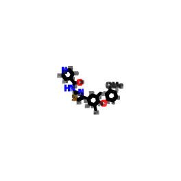 COc1cccc(Oc2c(C)cc(-c3csc(NC(=O)c4ccncc4)n3)cc2C)c1